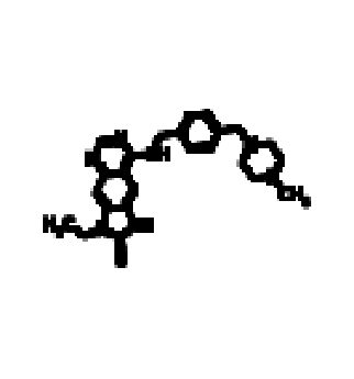 CCn1c(=S)[nH]c2cc3c(NCc4ccc(CN5CCN(C)CC5)cc4)ncnc3cc21